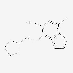 O=Cc1cc(Br)c2occc2c1OCC1CCCO1